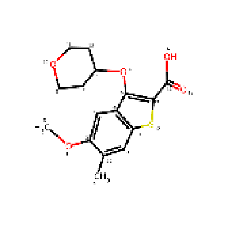 COc1cc2c(OC3CCOCC3)c(C(=O)O)sc2cc1C